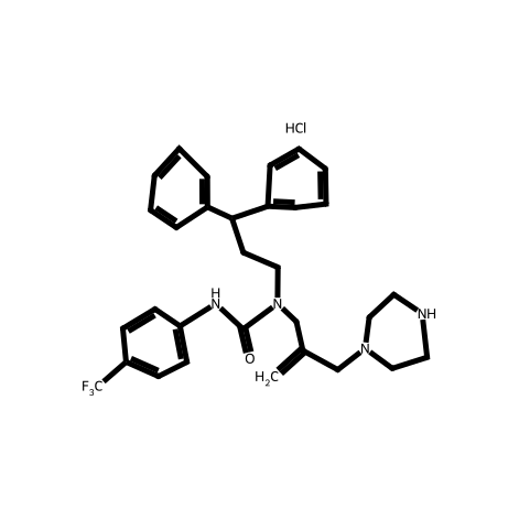 C=C(CN1CCNCC1)CN(CCC(c1ccccc1)c1ccccc1)C(=O)Nc1ccc(C(F)(F)F)cc1.Cl